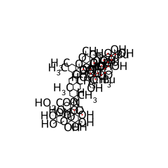 CC[C@H](C)[C@H](C[C@H](O)CC(=O)O[C@H]1C(C)O[C@@H](OC(=O)[C@]23CCC(C)(C)CC2C2=CCC4C5(C)CC[C@H](O[C@@H]6OC(C(=O)O)[C@@H](O)[C@H](O[C@@H]7OC[C@@H](O)[C@H](O)C7O)C6O[C@@H]6OC(CO)[C@H](O)[C@H](O)C6O)[C@](C)(C=Nc6ccccc6)[C@@H]5CC[C@]4(C)[C@]2(C)CC3O)C(O[C@@H]2OC(C)[C@H](O[C@@H]3OC[C@@H](O)C(O[C@@H]4OC[C@@H](O)C(O)C4O)C3O)C(O)C2O)C1O)OC(=O)C[C@@H](O)C[C@H](O[C@@H]1O[C@@H](CO)C(O)C1O)[C@@H](C)CC